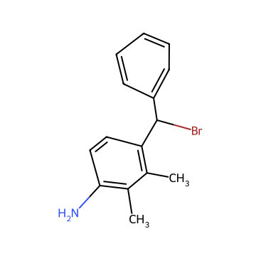 Cc1c(N)ccc(C(Br)c2ccccc2)c1C